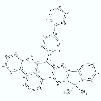 CC1(C)c2ccccc2-c2cc(N(c3ccc(-c4ccccc4)cc3)c3cc4ccccc4c4ccccc34)ccc21